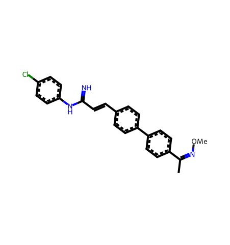 CO/N=C(/C)c1ccc(-c2ccc(/C=C/C(=N)Nc3ccc(Cl)cc3)cc2)cc1